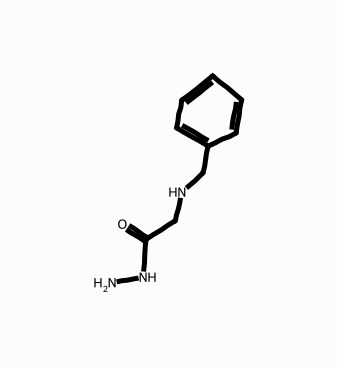 NNC(=O)CNCc1ccccc1